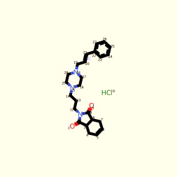 Cl.O=C1C2CC=CCC2C(=O)N1CCCN1CCN(C/C=C/c2ccccc2)CC1